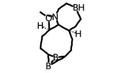 CO[C@@H]1CCC2B3B2C3CC[C@@H]2CCBCCN(C)C21